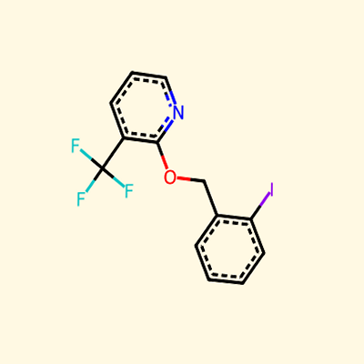 FC(F)(F)c1cccnc1OCc1ccccc1I